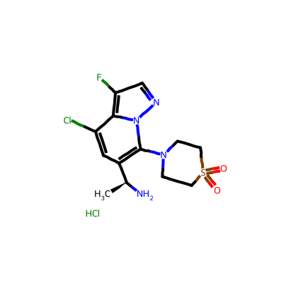 C[C@H](N)c1cc(Cl)c2c(F)cnn2c1N1CCS(=O)(=O)CC1.Cl